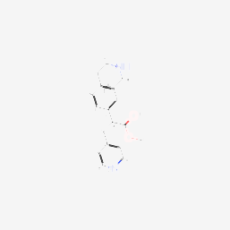 COC(=O)C(Cc1ccncc1)c1ccc2c(c1)CNCC2